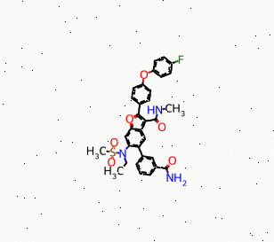 CCN(c1cc2oc(-c3ccc(Oc4ccc(F)cc4)cc3)c(C(=O)NC)c2cc1-c1cccc(C(N)=O)c1)S(C)(=O)=O